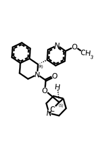 COc1ccc([C@H]2c3ccccc3CCN2C(=O)O[C@@H]2CN3CCC2CC3)cn1